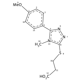 COc1ccc(-c2nnc(SCCC(=O)O)n2C)cc1